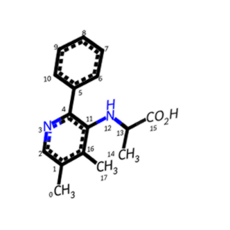 Cc1cnc(-c2ccccc2)c(NC(C)C(=O)O)c1C